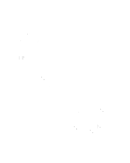 Cc1ccc(NC2CCN(S(=O)(=O)c3ccc(-c4cnc5[nH]nc(N)c5c4)cc3)CC2)nc1